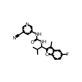 Cc1c(C(NC(=O)Nc2cncc(C#N)c2)C(C)C)oc2ccc(F)cc12